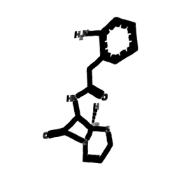 Nc1ccccc1CC(=O)NC1C(=O)N2C=CCS[C@H]12